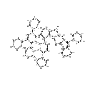 c1ccc(-c2nc(-c3ccccc3)nc(-c3cc(-c4ccccc4-c4ccccc4)ccc3-c3cccc4sc5cc6c(cc5c34)c3ccccc3n6-c3ccccc3)n2)cc1